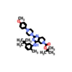 COc1ccc(N2CCN(c3nc4c(c(Nc5cc(C(C)(C)C)ccc5C)n3)CN(C(=O)OC(C)(C)C)CC4)CC2)cc1